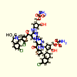 CC(C)(C)[N+]1(C(=O)O)CCc2ccc(Cl)cc2C1c1cc(C(=O)c2cncnc2N[C@@H]2C[C@H](COS(N)(=O)=O)[C@@H](O)C2)sc1Cl.NS(=O)(=O)OC[C@H]1C[C@@H](Nc2ncncc2C(=O)c2cc([C@H]3CCCc4ccc(Cl)cc43)cs2)C[C@@H]1O